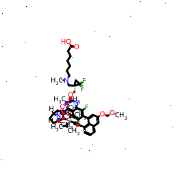 COCOc1cc(-c2c(F)cc3c(N4C[C@H]5CC[C@@](C)(C4)N5C(=O)OC(C)(C)C)nc(OC[C@]4(CN(C)CCCCCCC(=O)O)CC4(F)F)nc3c2F)c2c(C#C[Si](C(C)C)(C(C)C)C(C)C)cccc2c1